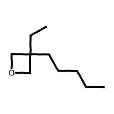 CCCCCC1(CC)COC1